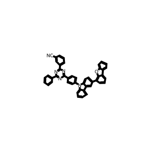 N#Cc1cccc(-c2nc(-c3ccccc3)nc(-c3ccc(-n4c5ccccc5c5cc(-c6cccc7c6oc6ccccc67)ccc54)cc3)n2)c1